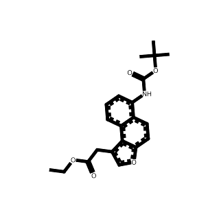 CCOC(=O)Cc1coc2ccc3c(NC(=O)OC(C)(C)C)cccc3c12